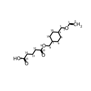 C=COCC1CCC(COC(=O)CCCC(=O)O)CC1